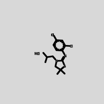 CC(C)CN1CC(C)(C)SC1=Nc1ccc(Cl)cc1Cl.Cl